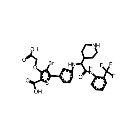 O=C(O)COc1c(C(=O)O)sc(-c2cccc(NC(C(=O)Nc3ccccc3C(F)(F)F)C3CCNCC3)c2)c1Br